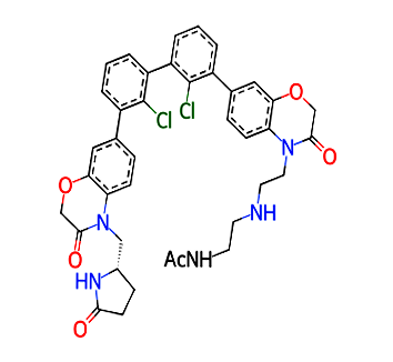 CC(=O)NCCNCCN1C(=O)COc2cc(-c3cccc(-c4cccc(-c5ccc6c(c5)OCC(=O)N6C[C@@H]5CCC(=O)N5)c4Cl)c3Cl)ccc21